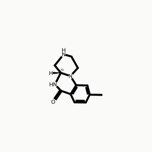 Cc1ccc2c(c1)N1CCNC[C@H]1NC2=O